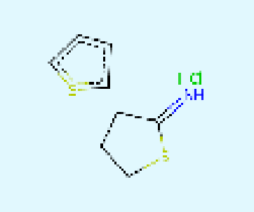 Cl.N=C1CCCS1.c1ccsc1